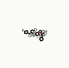 Nc1c(C(=O)c2ccc(F)cc2)ccc(=O)n1C1CCC(NC(Cc2ccccc2)(C(=O)O)C2CCCC2)CC1